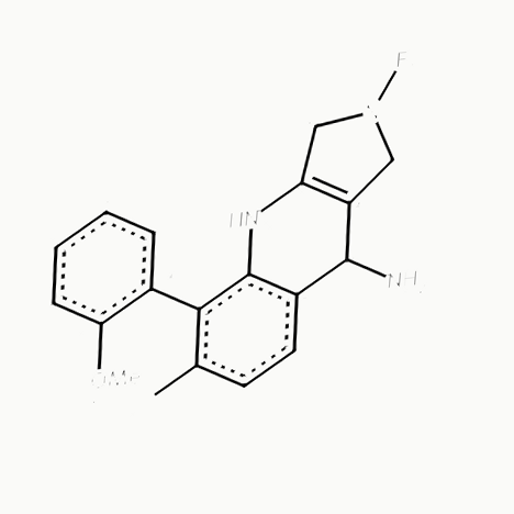 CCN1CC2=C(C1)C(N)c1ccc(F)c(-c3ccccc3OC)c1N2